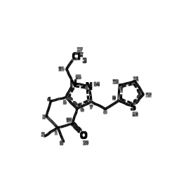 CC1(C)CCc2c(c(Cc3cccs3)nn2CC(F)(F)F)C1=O